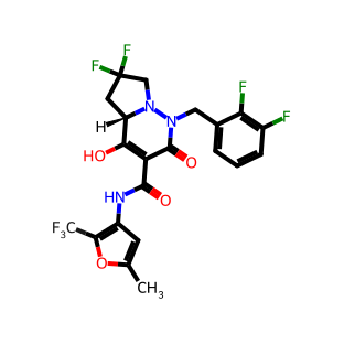 Cc1cc(NC(=O)C2=C(O)[C@@H]3CC(F)(F)CN3N(Cc3cccc(F)c3F)C2=O)c(C(F)(F)F)o1